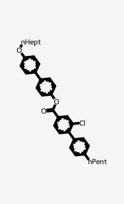 CCCCCCCOc1ccc(-c2ccc(OC(=O)c3ccc(-c4ccc(CCCCC)cc4)c(Cl)c3)cc2)cc1